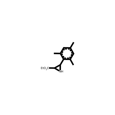 CCOC(=O)C1NC1c1c(C)cc(C)cc1C